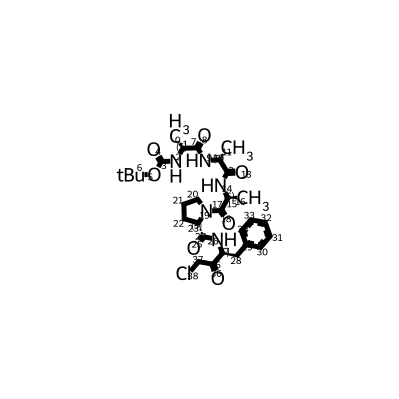 C[C@H](NC(=O)OC(C)(C)C)C(=O)N[C@H](C)C(=O)N[C@@H](C)C(=O)N1CCC[C@H]1C(=O)N[C@@H](Cc1ccccc1)C(=O)CCl